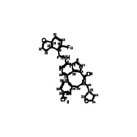 O=C1c2ncn3c(NCc4c(F)ccc5c4CCO5)ncc(c23)-c2ccc(C(F)(F)F)nc2CN1CC1CCOC1